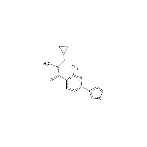 Cc1nc(-c2ccsc2)ccc1C(=O)N(C)CC1CC1